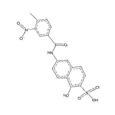 Cc1ccc(C(=O)Nc2ccc3c(O)c(S(=O)(=O)O)ccc3c2)cc1[N+](=O)[O-]